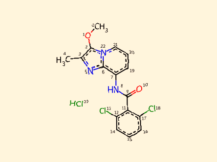 COc1c(C)nc2c(NC(=O)c3c(Cl)cccc3Cl)cccn12.Cl